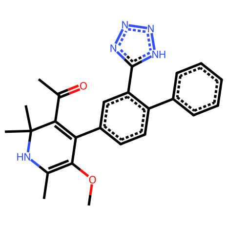 COC1=C(C)NC(C)(C)C(C(C)=O)=C1c1ccc(-c2ccccc2)c(-c2nnn[nH]2)c1